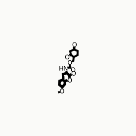 COc1ccc2cc(NC(=O)OCC3CCC(=O)CC3=O)c(=O)oc2c1